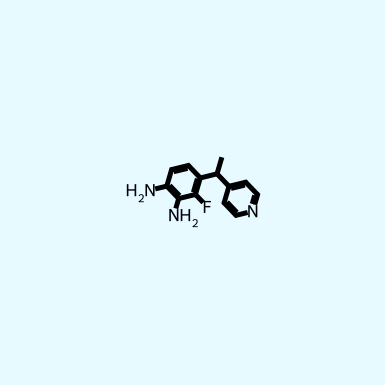 CC(c1ccncc1)c1ccc(N)c(N)c1F